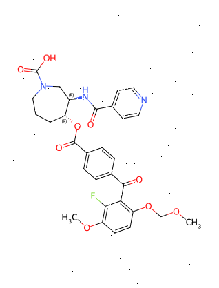 COCOc1ccc(OC)c(F)c1C(=O)c1ccc(C(=O)O[C@@H]2CCCN(C(=O)O)C[C@H]2NC(=O)c2ccncc2)cc1